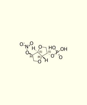 O=[N+]([O-])O[C@@H]1CO[C@@H]2[C@@H]1OC[C@@H]2OP(=O)(O)O